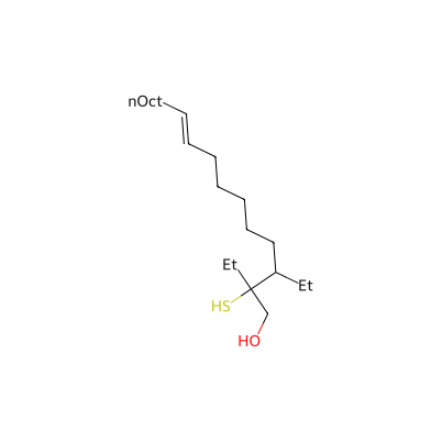 CCCCCCCCC=CCCCCCC(CC)C(S)(CC)CO